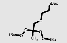 CCCCCCCCCCCCOCC(C)(OOC(C)(C)C)OOC(C)(C)C